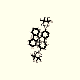 CC1(C)OB(c2ccc3c(c2)[B-]2(c4ccccc4-c4ccccc42)[n+]2cc(B4OC(C)(C)C(C)(C)O4)ccc2-3)OC1(C)C